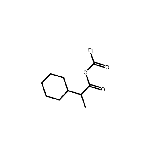 CCC(=O)OC(=O)C(C)C1CCCCC1